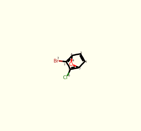 Clc1c(Br)c2ccc1o2